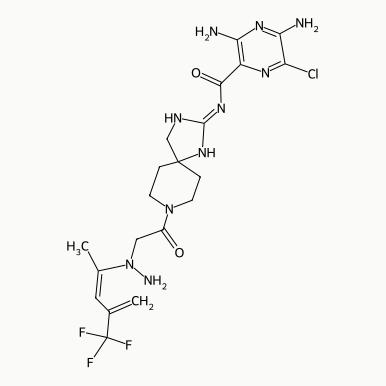 C=C(/C=C(/C)N(N)CC(=O)N1CCC2(CC1)CN/C(=N\C(=O)c1nc(Cl)c(N)nc1N)N2)C(F)(F)F